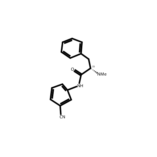 CN[C@@H](Cc1ccccc1)C(=O)Nc1cccc(C#N)c1